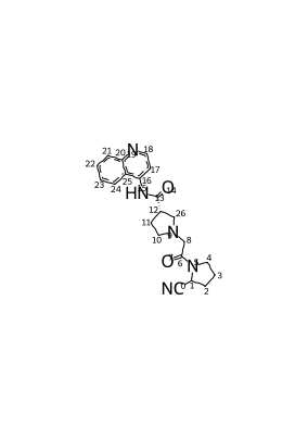 N#CC1CCCN1C(=O)CN1CC[C@H](C(=O)Nc2ccnc3ccccc23)C1